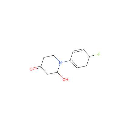 O=C1CCN(C2=CCC(F)C=C2)C(O)C1